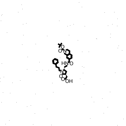 CC(C)(C)OC(=O)N1CCc2ccc(C(=O)NCC[C@@H]3C[C@@H](CC(=O)O)C(=O)N3CCCc3ccccc3)cc2C1